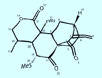 C=C1C(=O)[C@]23CC[C@H]1CC2C1(CCCC)C(=O)OCC(C)C1[C@@H](SC)C3=O